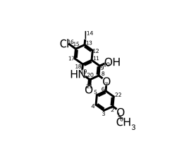 COc1cccc(Oc2c(O)c3cc(I)c(Cl)cc3[nH]c2=O)c1